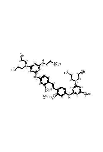 COc1nc(Nc2ccc(C=Cc3ccc(Nc4nc(NCCS(=O)(=O)O)nc(N(CCO)CCO)n4)cc3S(=O)(=O)O)c(S(=O)(=O)O)c2)nc(N(CCO)CCO)n1.[Na]